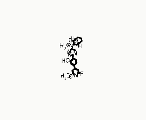 COc1cc(-c2ccc(-c3ncc(N(C)[C@H]4C[C@@H]5CCC[C@@H](N5)[C@H]4F)nn3)c(O)c2)cc(F)n1